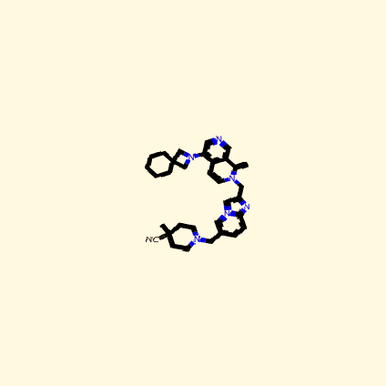 C=C1c2cncc(N3CC4(CCCCC4)C3)c2C=CN1Cc1cn2cc(CN3CCC(C)(C#N)CC3)ccc2n1